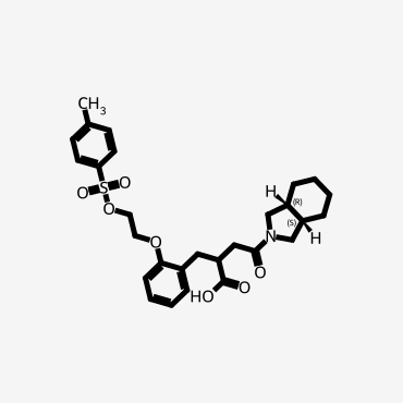 Cc1ccc(S(=O)(=O)OCCOc2ccccc2CC(CC(=O)N2C[C@H]3CCCC[C@H]3C2)C(=O)O)cc1